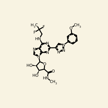 CNC(=O)C1OC(n2cnc3c(NCC(C)(F)F)nc(-c4cn(-c5cccc(OC)c5)nn4)nc32)[C@H](O)[C@@H]1O